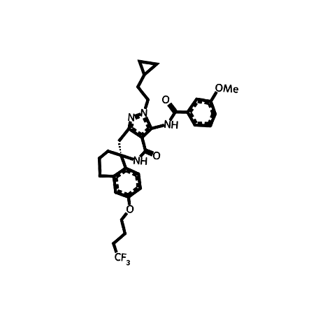 COc1cccc(C(=O)Nc2c3c(nn2CCC2CC2)C[C@]2(CCCc4cc(OCCCC(F)(F)F)ccc42)NC3=O)c1